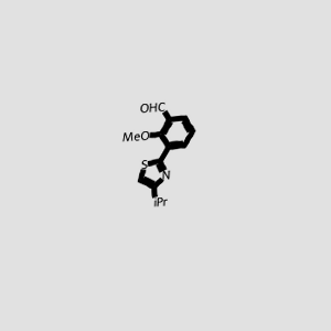 COc1c(C=O)cccc1-c1nc(C(C)C)cs1